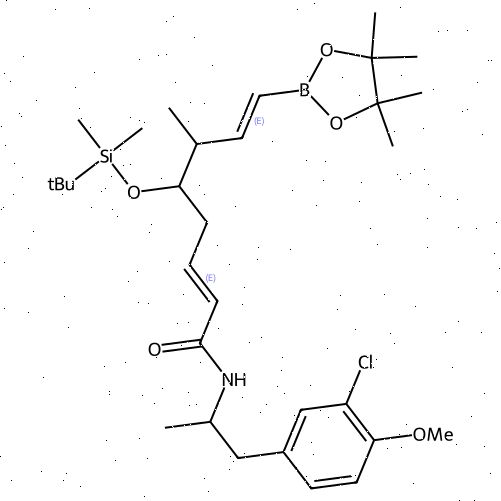 COc1ccc(CC(C)NC(=O)/C=C/CC(O[Si](C)(C)C(C)(C)C)C(C)/C=C/B2OC(C)(C)C(C)(C)O2)cc1Cl